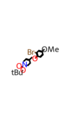 COc1ccc(OCC2=CCN(C(=O)OC(C)(C)C)CC2)c(Br)c1